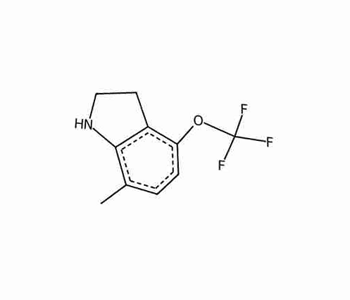 Cc1ccc(OC(F)(F)F)c2c1NCC2